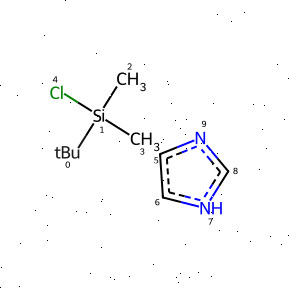 CC(C)(C)[Si](C)(C)Cl.c1c[nH]cn1